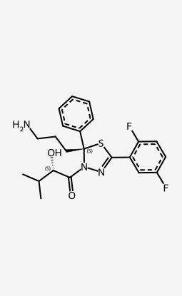 CC(C)[C@H](O)C(=O)N1N=C(c2cc(F)ccc2F)S[C@@]1(CCCN)c1ccccc1